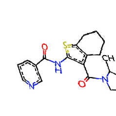 CC1CCCN1C(=O)c1c(NC(=O)c2cccnc2)sc2c1CCCC2